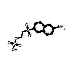 Nc1ccc2cc(S(=O)(=O)CCOS(=O)(=O)O)ccc2c1